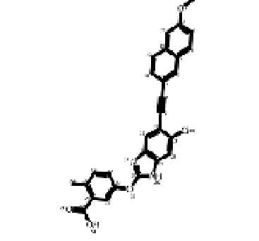 COc1ccc2cc(C#Cc3cc4nc(Oc5ccc(C)c(C(=O)O)c5)[nH]c4cc3Cl)ccc2c1